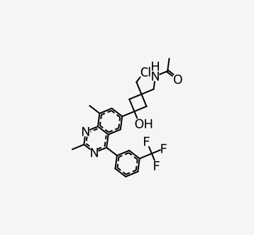 CC(=O)NCC1(CCl)CC(O)(c2cc(C)c3nc(C)nc(-c4cccc(C(F)(F)F)c4)c3c2)C1